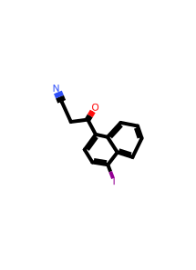 N#CCC(=O)c1ccc(I)c2ccccc12